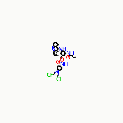 CCCC(=O)Nc1cc(COC(=O)Nc2ccc(N(CCCl)CCCl)cc2)cc(Nc2c3ccccc3nc3ccccc23)c1